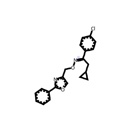 Clc1ccc(/C(CC2CC2)=N/OCc2coc(-c3ccccc3)n2)cc1